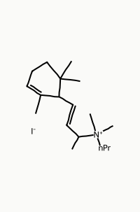 CCC[N+](C)(C)C(C)C=CC1C(C)=CCCC1(C)C.[I-]